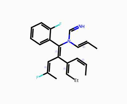 C\C=C/C(=C\CC)C(/C=C(\C)F)=C(/c1ccccc1F)N(C=N)/C=C/C